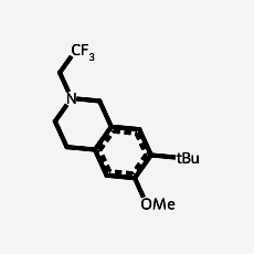 COc1cc2c(cc1C(C)(C)C)CN(CC(F)(F)F)CC2